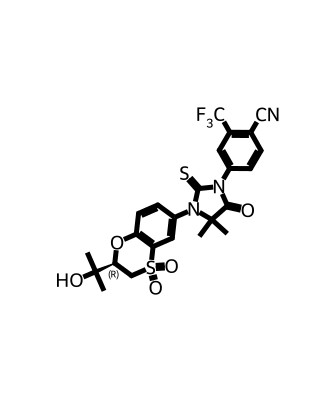 CC(C)(O)[C@@H]1CS(=O)(=O)c2cc(N3C(=S)N(c4ccc(C#N)c(C(F)(F)F)c4)C(=O)C3(C)C)ccc2O1